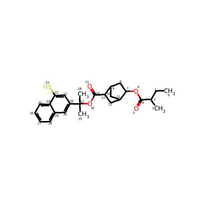 CCC(C)C(=O)OC1CC2CC1CC2C(=O)OC(C)(C)c1cc(S)c2ccccc2c1